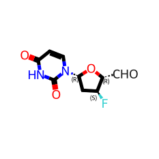 O=C[C@H]1O[C@@H](n2ccc(=O)[nH]c2=O)C[C@@H]1F